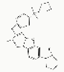 CC1CC2c3ccc(C4CCCC=C4F)cc3OC2C2=C1C[N+]1=C2CC(C(C)(C)C2CCCC2)C=C1